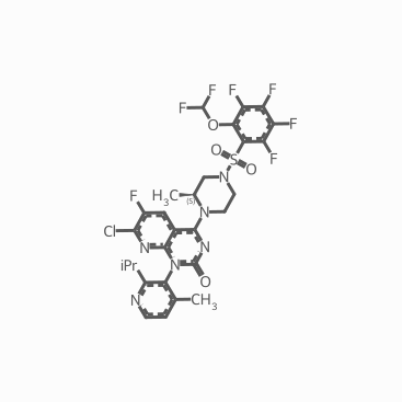 Cc1ccnc(C(C)C)c1-n1c(=O)nc(N2CCN(S(=O)(=O)c3c(F)c(F)c(F)c(F)c3OC(F)F)C[C@@H]2C)c2cc(F)c(Cl)nc21